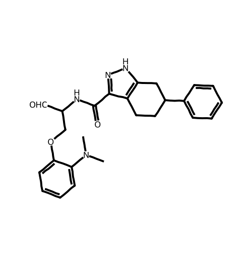 CN(C)c1ccccc1OCC(C=O)NC(=O)c1n[nH]c2c1CCC(c1ccccc1)C2